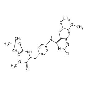 COC(=O)C(Cc1ccc(Nc2nc(Cl)nc3cc(OC)c(OC)cc23)cc1)NC(=O)OC(C)(C)C